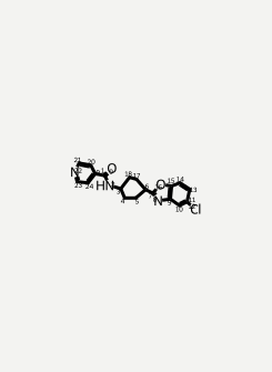 O=C(NC1CCC(c2nc3cc(Cl)ccc3o2)CC1)c1ccncc1